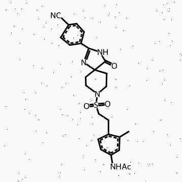 CC(=O)Nc1ccc(CCS(=O)(=O)N2CCC3(CC2)N=C(c2ccc(C#N)cc2)NC3=O)c(C)c1